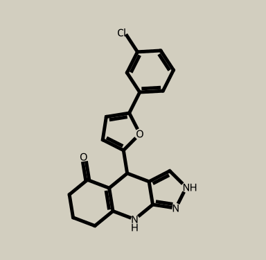 O=C1CCCC2=C1C(c1ccc(-c3cccc(Cl)c3)o1)c1c[nH]nc1N2